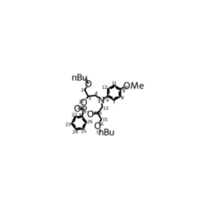 CCCCOCC1CN(c2ccc(OC)cc2)CC(COCCCC)OP(=O)(c2ccccc2)O1